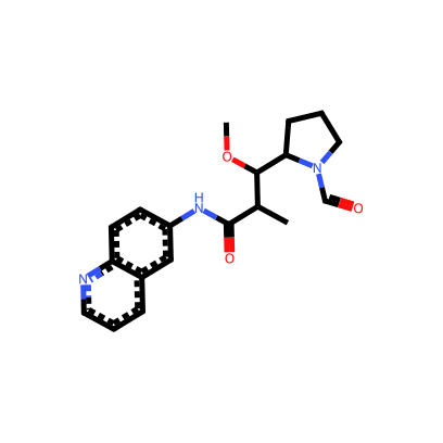 COC(C(C)C(=O)Nc1ccc2ncccc2c1)C1CCCN1C=O